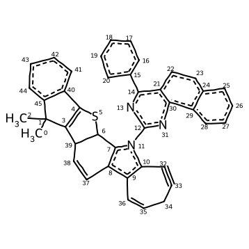 CC1(C)C2=C(SC3c4c(c5c(n4-c4nc(-c6ccccc6)c6ccc7ccccc7c6n4)C#CCC=C5)C=CC23)c2ccccc21